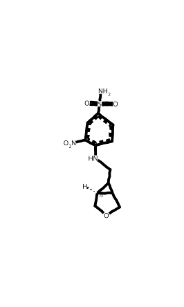 NS(=O)(=O)c1ccc(NCC2C3COC[C@@H]23)c([N+](=O)[O-])c1